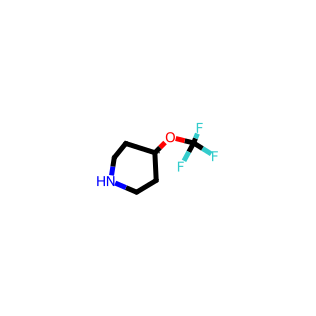 FC(F)(F)O[C]1CCNCC1